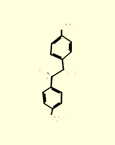 COc1ccc([C@@H](O)[C@@H](O)c2ccc(OC)cc2)cc1